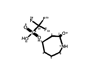 O=C1CCCCCN1.O=S(=O)(O)C(F)(F)F